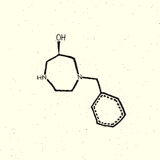 O[C@@H]1CNCCN(Cc2ccccc2)C1